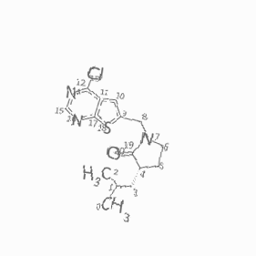 C[C](C)C[C@H]1CCN(Cc2cc3c(Cl)ncnc3s2)C1=O